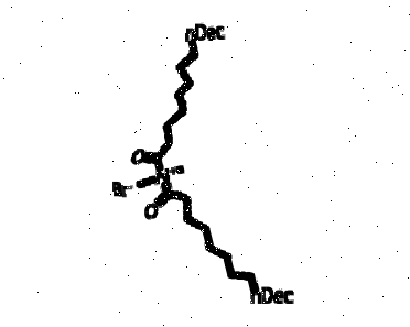 CCCCCCCCCCCCCCCCCC(=O)[N+](C)(C)C(=O)CCCCCCCCCCCCCCCCC.[Br-]